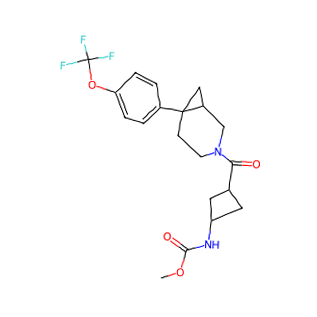 COC(=O)NC1CC(C(=O)N2CCC3(c4ccc(OC(F)(F)F)cc4)CC3C2)C1